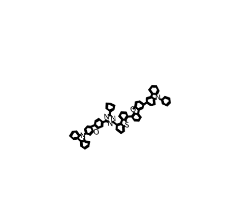 c1ccc(-c2nc(-c3ccc4c(c3)oc3cc(-n5c6ccccc6c6ccccc65)ccc34)nc(-c3cccc4sc5c(-c6cccc7c6oc6ccc(-c8ccc9c(c8)c8ccccc8n9-c8ccccc8)cc67)cccc5c34)n2)cc1